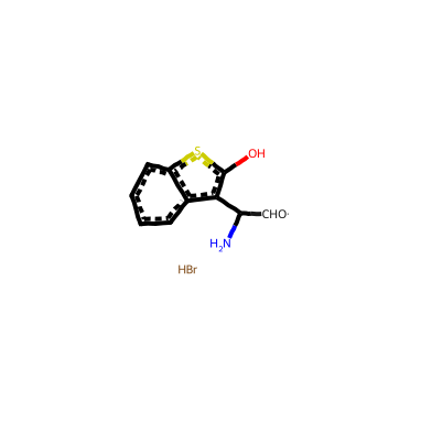 Br.NC([C]=O)c1c(O)sc2ccccc12